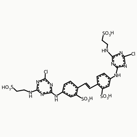 O=S(=O)(O)CCNc1nc(Cl)nc(Nc2ccc(C=Cc3ccc(Nc4nc(Cl)nc(NCCS(=O)(=O)O)n4)cc3S(=O)(=O)O)c(S(=O)(=O)O)c2)n1